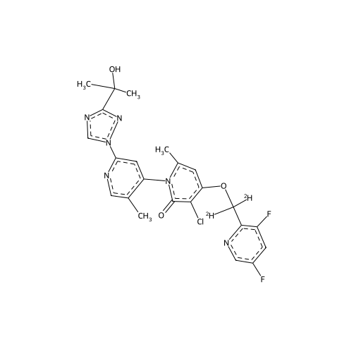 [2H]C([2H])(Oc1cc(C)n(-c2cc(-n3cnc(C(C)(C)O)n3)ncc2C)c(=O)c1Cl)c1ncc(F)cc1F